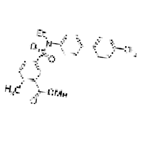 CCN(c1ccc(-c2ccc(C(F)(F)F)cc2)cc1)S(=O)(=O)c1ccc(C)c(C(=O)OC)c1